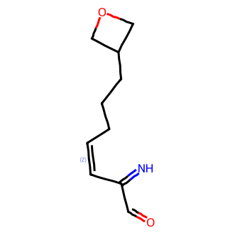 N=C(C=O)/C=C\CCCC1COC1